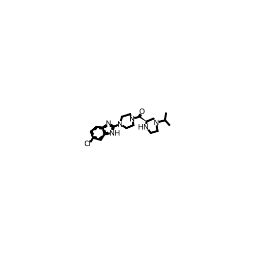 CC(C)N1CCN[C@@H](C(=O)N2CCN(c3nc4ccc(Cl)cc4[nH]3)CC2)C1